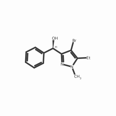 CCc1c(Br)c([C@H](O)c2ccccc2)nn1C